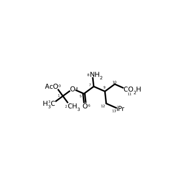 CC(=O)OC(C)(C)OC(=O)C(N)C(CC(=O)O)CC(C)C